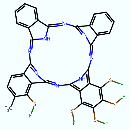 FSc1c(C(F)(F)F)ccc2c1-c1nc-2nc2[nH]c(nc3nc(nc4[nH]c(n1)c1c(SF)c(SF)c(SF)c(SF)c41)-c1ccccc1-3)c1ccccc21